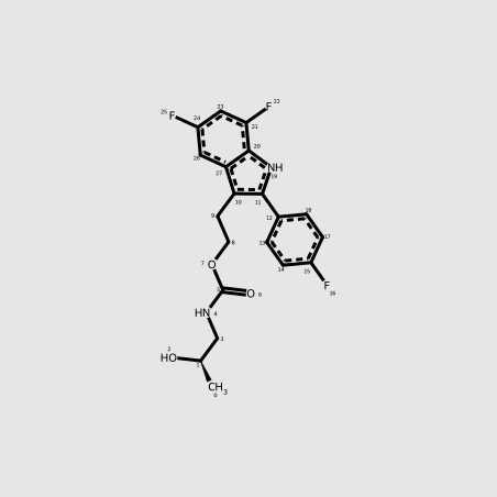 C[C@@H](O)CNC(=O)OCCc1c(-c2ccc(F)cc2)[nH]c2c(F)cc(F)cc12